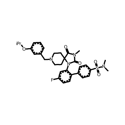 CC(C)Oc1cccc(CN2CCC3(CC2)C(=O)N(C)C(=O)N3c2cc(F)ccc2-c2ccc(S(=O)(=O)N(C)C)cc2)c1